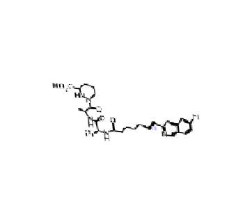 CCc1ccc2cnc(/C=C/CCCCC(=O)NC(C(=O)NC(C)C(=O)N3CCCC(C(=O)O)N3)C(C)C)cc2c1